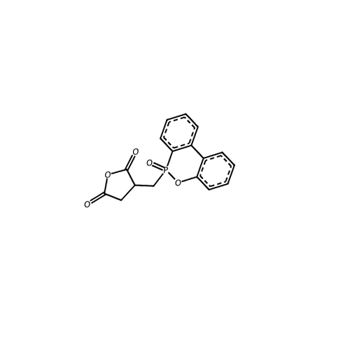 O=C1CC(CP2(=O)Oc3ccccc3-c3ccccc32)C(=O)O1